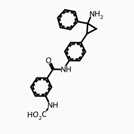 NC1(c2ccccc2)CC1c1ccc(NC(=O)c2cccc(NC(=O)O)c2)cc1